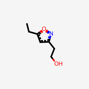 CCc1cc(CCO)no1